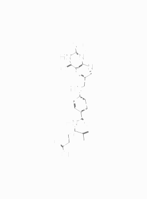 C=C(C)[C@@H](CCC(=O)O)NC(=O)c1ccc(NCc2cnc3nc(N)[nH]c(=O)c3n2)cc1